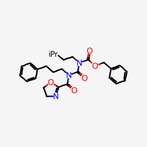 CC(C)CCN(C(=O)OCc1ccccc1)C(=O)N(CCCc1ccccc1)C(=O)C1=NCCO1